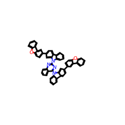 c1ccc2c(-n3c4ccccc4c4ccc(-c5ccc6oc7ccccc7c6c5)cc43)nc(-n3c4ccccc4c4ccc(-c5ccc6oc7ccccc7c6c5)cc43)nc2c1